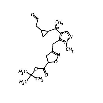 C[C@@H](c1cnn(C)c1CC1=NOC(C(=O)OC(C)(C)C)C1)C1CC1CC=O